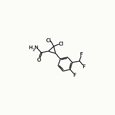 NC(=O)C1C(c2ccc(F)c(C(F)F)c2)C1(Cl)Cl